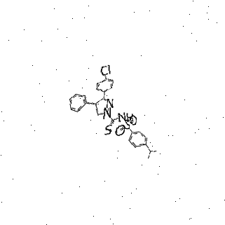 CC(C)c1ccc(S(=O)(=O)NC(=S)N2CC(c3ccccc3)C(c3ccc(Cl)cc3)=N2)cc1